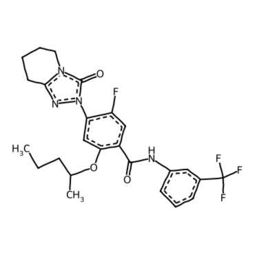 CCCC(C)Oc1cc(-n2nc3n(c2=O)CCCC3)c(F)cc1C(=O)Nc1cccc(C(F)(F)F)c1